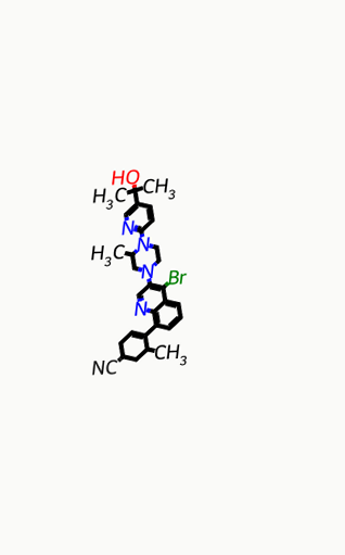 CC1CC(C#N)CC=C1c1cccc2c(Br)c(N3CCN(c4ccc(C(C)(C)O)cn4)C(C)C3)cnc12